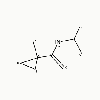 C=C(NC(C)C)C1(C)CC1